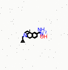 CC1C2Cc3ccc(/C(N)=N\O)cc3[C@@]1(C)CCN2CC1CC1